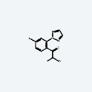 CC(C)C(C)C(=O)c1ccc(F)cc1-n1nccn1